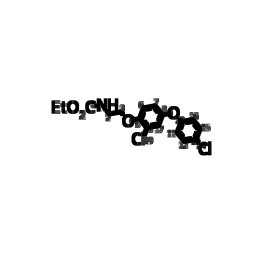 CCOC(=O)NCCOc1ccc(Oc2ccc(Cl)cc2)cc1Cl